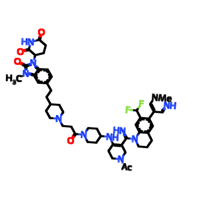 CN/C=C(\C=N)c1cc2c(cc1C(F)F)N(C(=N)C1=C(NC3CCN(C(=O)CCN4CCC(CCc5ccc6c(c5)n(C)c(=O)n6C5CCC(=O)NC5=O)CC4)CC3)CCN(C(C)=O)C1)CCC2